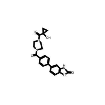 O=C(c1ccc(-c2ccc3oc(=O)[nH]c3c2)cc1)N1CCN(C(=O)C2(O)CC2)CC1